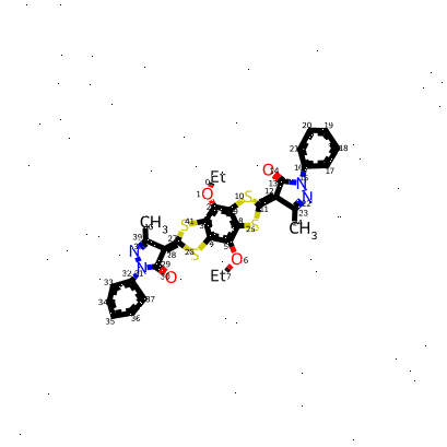 CCOc1c2c(c(OCC)c3c1SC(=C1C(=O)N(c4ccccc4)N=C1C)S3)SC(=C1C(=O)N(c3ccccc3)N=C1C)S2